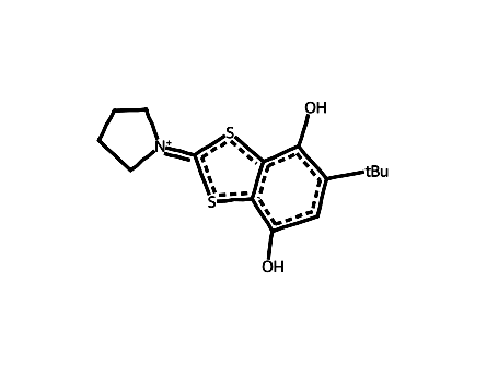 CC(C)(C)c1cc(O)c2sc(=[N+]3CCCC3)sc2c1O